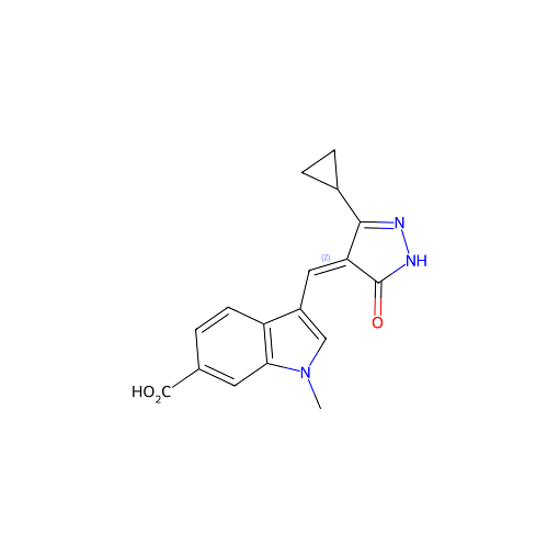 Cn1cc(/C=C2\C(=O)NN=C2C2CC2)c2ccc(C(=O)O)cc21